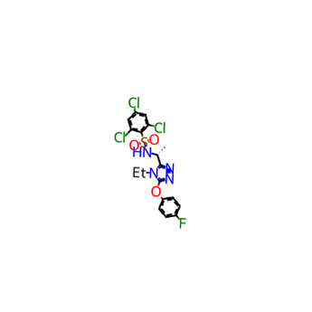 CCn1c(Oc2ccc(F)cc2)nnc1[C@@H](C)NS(=O)(=O)c1c(Cl)cc(Cl)cc1Cl